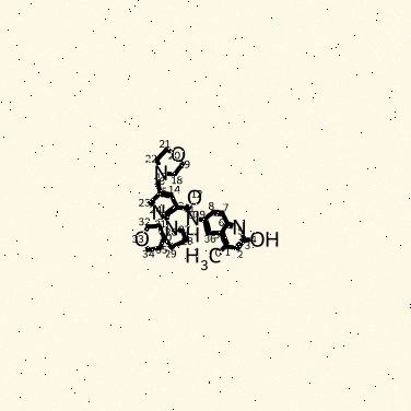 Cc1cc(O)nc2ccc(NC(=O)c3cc(CN4CCOCC4)cnc3N3CCCC34CCOCC4)cc12